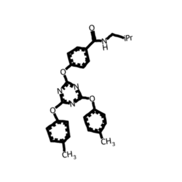 Cc1ccc(Oc2nc(Oc3ccc(C)cc3)nc(Oc3ccc(C(=O)NCC(C)C)cc3)n2)cc1